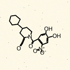 O=C=C1CC(C2CCCCC2)CCN1C(=O)c1cc(O)c(O)cc1[N+](=O)[O-]